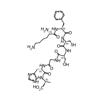 C[C@H](NC(=O)[C@H](Cc1c[nH]cn1)NC(=O)CNC(=O)[C@H](CO)NC(=O)[C@H](CS)NC(=O)[C@H](Cc1ccccc1)NC(=O)[C@@H](N)CCCCN)C(=O)O